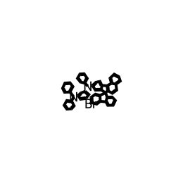 Brc1cc(N(c2ccccc2)c2ccccc2)cc(N(c2ccccc2)c2ccc3c(c2)C2(c4ccccc4-c4ccccc42)c2ccc4ccccc4c2-3)c1